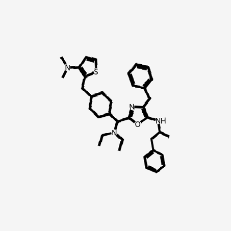 CCN(CC)C(c1nc(Cc2ccccc2)c(NC(C)Cc2ccccc2)o1)C1CCC(Cc2sccc2N(C)C)CC1